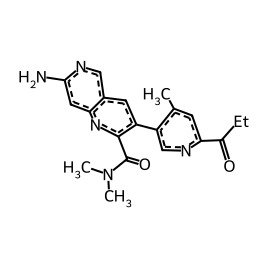 CCC(=O)c1cc(C)c(-c2cc3cnc(N)cc3nc2C(=O)N(C)C)cn1